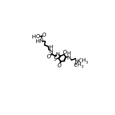 CN(C)CCNC1=CC(=O)c2sc(C(=O)NCCCCNC(=O)O)nc2C1=O